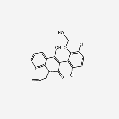 C#CCn1c(=O)c(-c2c(Cl)ccc(Cl)c2OCO)c(O)c2cccnc21